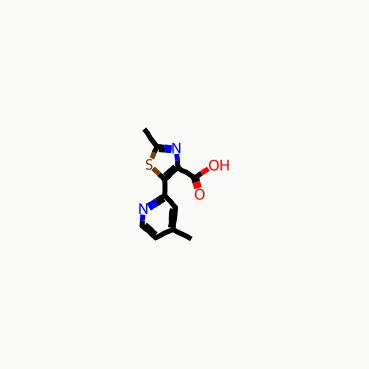 Cc1ccnc(-c2sc(C)nc2C(=O)O)c1